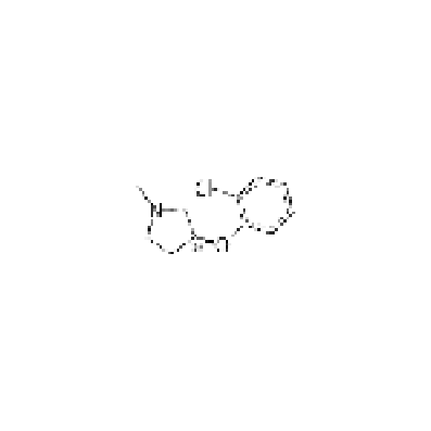 CN1CC[C@H](Oc2ccccc2Cl)C1